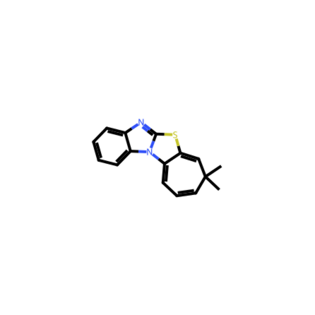 CC1(C)C=CC=c2c(sc3nc4ccccc4n23)=C1